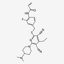 C=CC(=O)Nc1ccc(CSc2nc(N3CCC(N(C)C)CC3)c(C#N)c(CC)c2C#N)cc1F